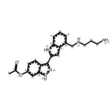 CC(=O)Oc1ccc2c(-c3cc4c(CNCCCN)cccc4[nH]3)n[nH]c2c1